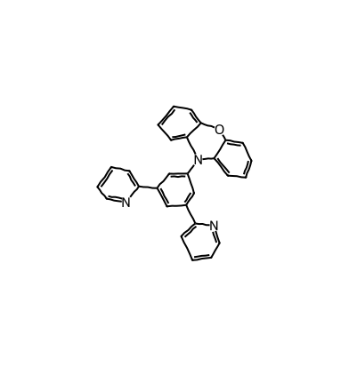 c1ccc(-c2cc(-c3ccccn3)cc(N3c4ccccc4Oc4ccccc43)c2)nc1